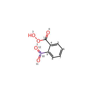 O=C(OO)c1ccccc1I(=O)=O